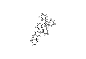 c1ccc(-c2c(-c3ccc4oc5ccccc5c4c3)cccc2-c2sc(-c3ccccc3)c3ccccc23)cc1